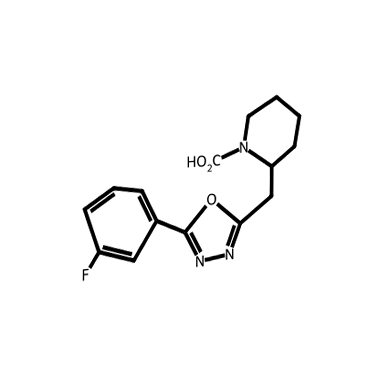 O=C(O)N1CCCCC1Cc1nnc(-c2cccc(F)c2)o1